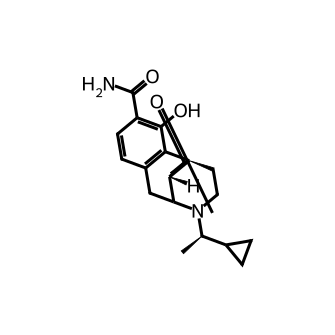 C[C@H](C1CC1)N1CC[C@]23CC(=O)CC[C@H]2C1Cc1ccc(C(N)=O)c(O)c13